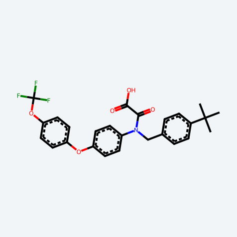 CC(C)(C)c1ccc(CN(C(=O)C(=O)O)c2ccc(Oc3ccc(OC(F)(F)F)cc3)cc2)cc1